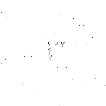 [C].[C].[Cr].[Cr].[Cr]